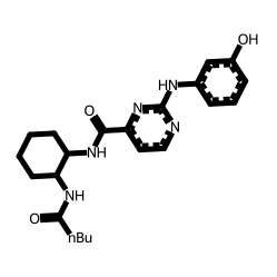 CCCCC(=O)NC1CCCCC1NC(=O)c1ccnc(Nc2cccc(O)c2)n1